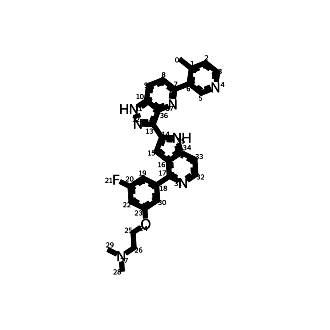 Cc1ccncc1-c1ccc2[nH]nc(-c3cc4c(-c5cc(F)cc(OCCN(C)C)c5)nccc4[nH]3)c2n1